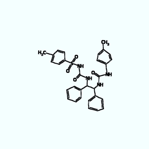 Cc1ccc(NC(=O)NC(c2ccccc2)C(NC(=O)NS(=O)(=O)c2ccc(C)cc2)c2ccccc2)cc1